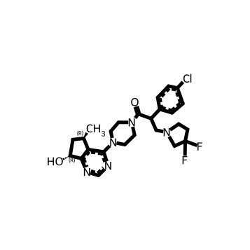 C[C@@H]1C[C@@H](O)c2ncnc(N3CCN(C(=O)C(CN4CCC(F)(F)C4)c4ccc(Cl)cc4)CC3)c21